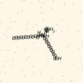 CCCCc1nc2c(N)nc3ccccc3c2n1CCCCN/C(=N\c1cccc(CNC(=O)CCOCCOCCOCCOCCOCCOCCOCCOCCOCCOC)c1)NCCOCCOCCOCCOCCOCCOCCOCCOCCOCCOCCC(=O)O